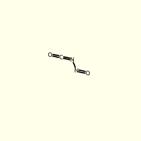 O=C=NN=O